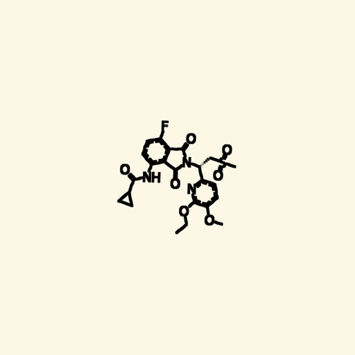 CCOc1nc([C@@H](CS(C)(=O)=O)N2C(=O)c3c(F)ccc(NC(=O)C4CC4)c3C2=O)ccc1OC